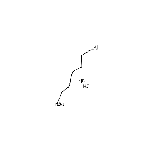 CCCCCCCC[CH2][Al].F.F